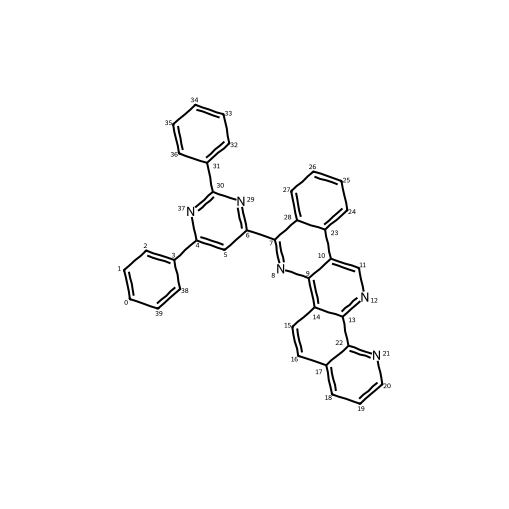 c1ccc(-c2cc(-c3nc4c(cnc5c4ccc4cccnc45)c4ccccc34)nc(-c3ccccc3)n2)cc1